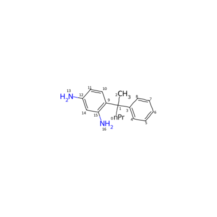 CCCC(C)(c1ccccc1)c1ccc(N)cc1N